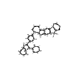 CC1(C)c2ccccc2-c2cc3c(cc21)oc1c(-c2ccc(-c4nc5ccccn5c4-c4ccccc4)cc2)cccc13